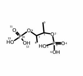 CC(OP(=O)(O)O)C(C)OP(=O)(O)O